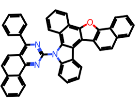 c1ccc(-c2nc(-n3c4ccccc4c4c5c6ccc7ccccc7c6oc5c5ccccc5c43)nc3c2ccc2ccccc23)cc1